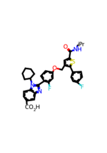 CC(C)NC(=O)c1cc(COc2ccc(-c3nc4cc(C(=O)O)ccc4n3C3CCCCC3)c(F)c2)c(-c2ccc(F)cc2)s1